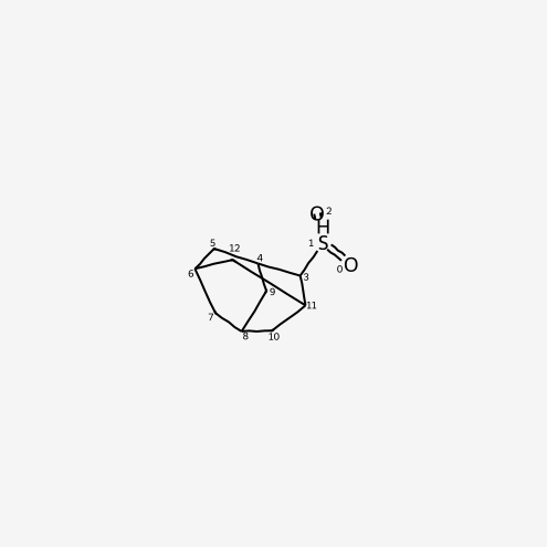 O=[SH](=O)C1C2CC3CC(C2)CC1C3